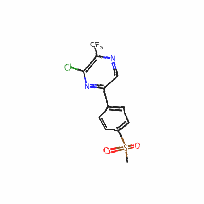 CS(=O)(=O)c1ccc(-c2cnc(C(F)(F)F)c(Cl)n2)cc1